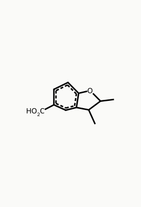 CC1Oc2ccc(C(=O)O)cc2C1C